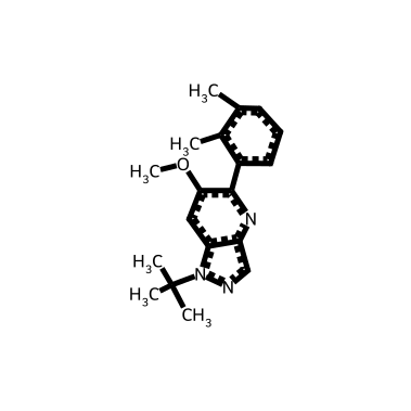 COc1cc2c(cnn2C(C)(C)C)nc1-c1cccc(C)c1C